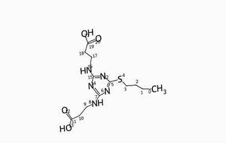 CCCCSc1nc(NCCC(=O)O)nc(NCCC(=O)O)n1